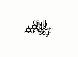 C=CNC(CC(C)C)C(=O)N[C@@H](CC(=O)O)c1c(F)c(-c2c(C)cc(C)cc2C)cc(C(F)(F)F)c1F